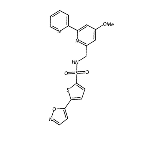 COc1cc(CNS(=O)(=O)c2ccc(-c3ccno3)s2)nc(-c2ccccn2)c1